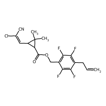 C=CCc1c(F)c(F)c(COC(=O)C2C(/C=C(/Cl)C#N)C2(C)C)c(F)c1F